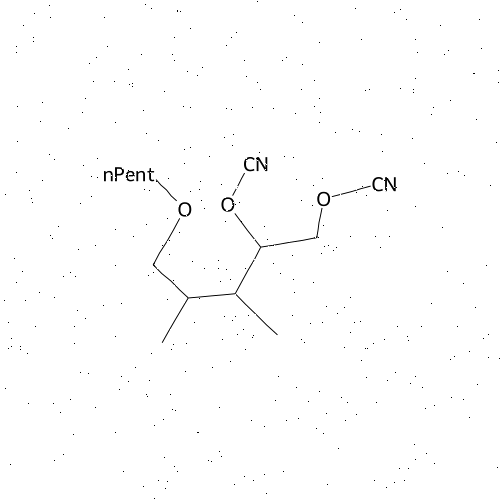 CCCCCOCC(C)C(C)C(COC#N)OC#N